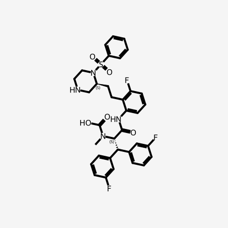 CN(C(=O)O)[C@H](C(=O)Nc1cccc(F)c1CC[C@H]1CNCCN1S(=O)(=O)c1ccccc1)C(c1cccc(F)c1)c1cccc(F)c1